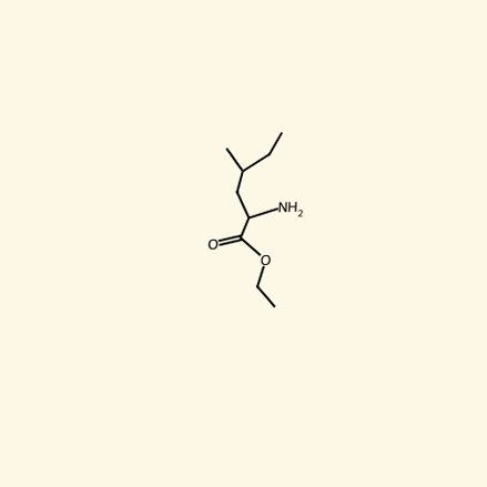 CCOC(=O)C(N)CC(C)CC